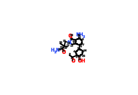 CC(=O)c1cc(-c2ccc(N)c3c2CN(CC(C)(C)C(N)=O)C3=O)ccc1O